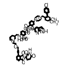 CC1(C)CCC(CN2CCN(c3ccc(C(=O)NS(=O)(=O)c4ccc(NCC5CCCN(CCOCC#Cc6cccc7c6C(=O)N(C6CCC(=O)NC6=O)C7=O)C5)c([N+](=O)[O-])c4)c(Oc4cnc5[nH]ccc5c4)c3)CC2)=C(c2ccc(Cl)cc2)C1